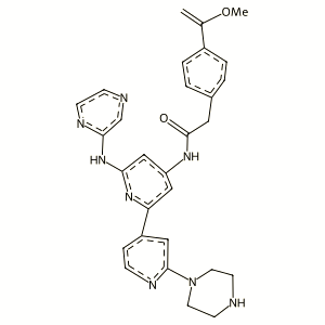 C=C(OC)c1ccc(CC(=O)Nc2cc(Nc3cnccn3)nc(-c3ccnc(N4CCNCC4)c3)c2)cc1